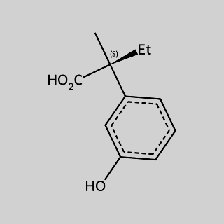 CC[C@](C)(C(=O)O)c1cccc(O)c1